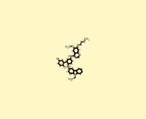 CCn1c2ccccc2c2cc(Nc3ccc(Nc4ncnc5cc(OCCOC)c(OC)cc45)cc3C3=CC(=O)C=CC3=O)ccc21